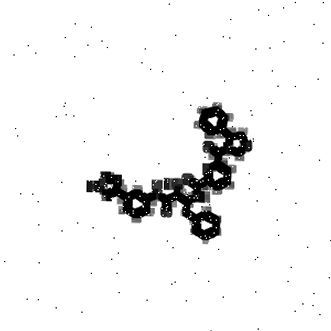 O=C(NC(Cc1ccccc1)[C@H](O)C(=O)Nc1cccc(-c2nn[nH]n2)c1)c1cccc(C(=O)N2COCC2c2ccccc2)n1